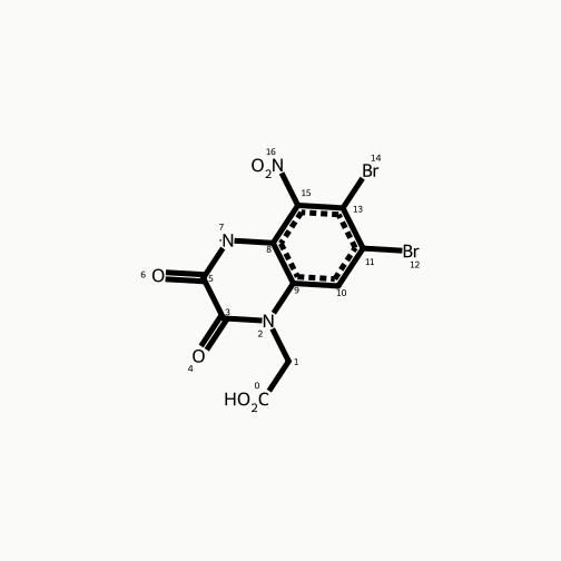 O=C(O)CN1C(=O)C(=O)[N]c2c1cc(Br)c(Br)c2[N+](=O)[O-]